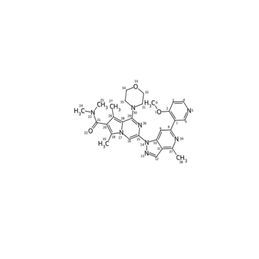 COc1ccncc1-c1cc2c(cnn2-c2cn3c(C)c(C(=O)N(C)C)c(C)c3c(N3CCOCC3)n2)c(C)n1